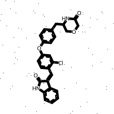 O=C1COCC(Cc2ccc(Oc3ccc(/C=C4\C(=O)Nc5ccccc54)c(Cl)c3)cc2)N1